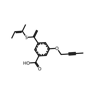 C=C(S/C(C)=C\C)c1cc(OCC#CC)cc(C(=O)O)c1